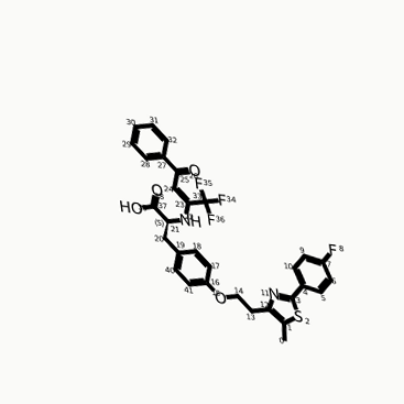 Cc1sc(-c2ccc(F)cc2)nc1CCOc1ccc(C[C@H](NC(=CC(=O)c2ccccc2)C(F)(F)F)C(=O)O)cc1